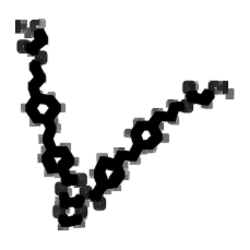 C=CC(=O)OCCCC1CCC(CCc2ccc(C(=O)OC3OCCOC3OC(=O)c3ccc(CCC4CCC(CCCOC(=O)C=C)CC4)cc3)cc2)CC1